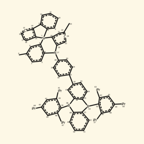 Cc1ccc2c(c1)[Si]1(c3ccccc3-c3ccccc31)c1cc(C)ccc1N2c1ccc(-c2ccc3c(c2)B(c2c(C(C)C)cc(C(C)C)cc2C(C)C)c2ccccc2B3c2c(C(C)C)cc(C(C)C)cc2C(C)C)cc1